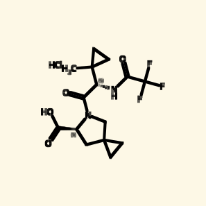 CC1([C@H](NC(=O)C(F)(F)F)C(=O)N2CC3(CC3)C[C@H]2C(=O)O)CC1.Cl